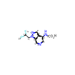 O=C(O)Nc1cncc2c1cnn2CC(F)F